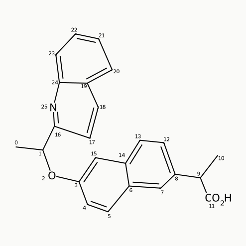 CC(Oc1ccc2cc(C(C)C(=O)O)ccc2c1)c1ccc2ccccc2n1